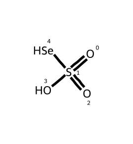 O=S(=O)(O)[SeH]